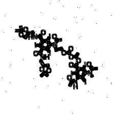 CC(=O)Nc1c(I)c(C(=O)OC(C)OC(=O)OCCN(C(C)=O)c2c(I)c(C(=O)NCC3COC(C)(C)O3)c(I)c(C(=O)NCC3COC(C)(C)O3)c2I)c(I)c(N(C)C(C)=O)c1I